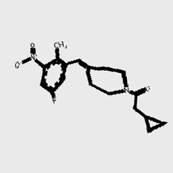 Cc1c(C=C2CCN(C(=O)CC3CC3)CC2)cc(F)cc1[N+](=O)[O-]